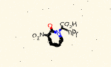 CCCC(C(=O)O)n1cccc([N+](=O)[O-])c1=O